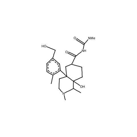 CNC(=O)NC(=O)C1CCC2(O)C(C)N(C)CCC2(c2cc(CO)ccc2C)C1